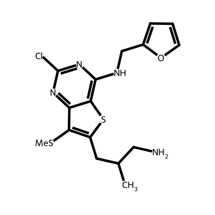 CSc1c(CC(C)CN)sc2c(NCc3ccco3)nc(Cl)nc12